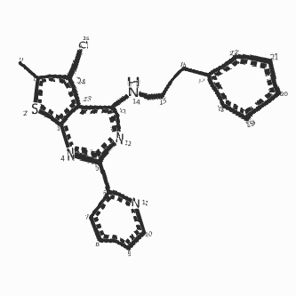 Cc1sc2nc(-c3ccccn3)nc(NCCc3ccccc3)c2c1Cl